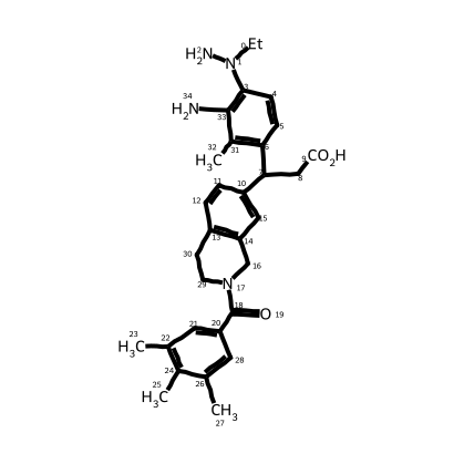 CCN(N)c1ccc(C(CC(=O)O)c2ccc3c(c2)CN(C(=O)c2cc(C)c(C)c(C)c2)CC3)c(C)c1N